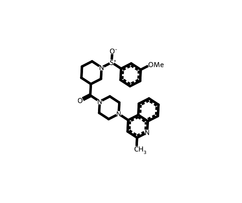 COc1cccc([S+]([O-])N2CCCC(C(=O)N3CCN(c4cc(C)nc5ccccc45)CC3)C2)c1